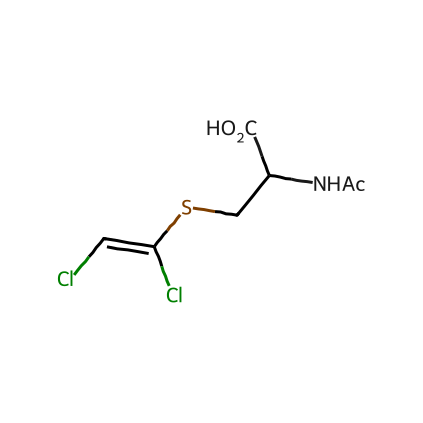 CC(=O)NC(CSC(Cl)=CCl)C(=O)O